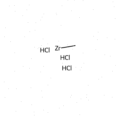 Cl.Cl.Cl.[CH3][Zr]